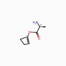 C[C@H](N)C(=O)OC1=CCC1